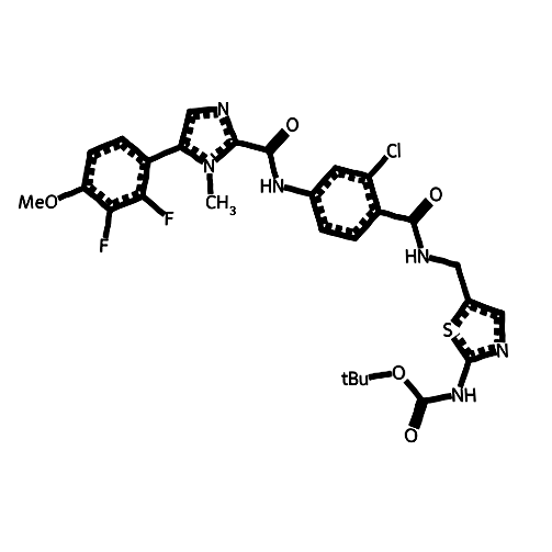 COc1ccc(-c2cnc(C(=O)Nc3ccc(C(=O)NCc4cnc(NC(=O)OC(C)(C)C)s4)c(Cl)c3)n2C)c(F)c1F